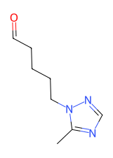 Cc1ncnn1CCCCC=O